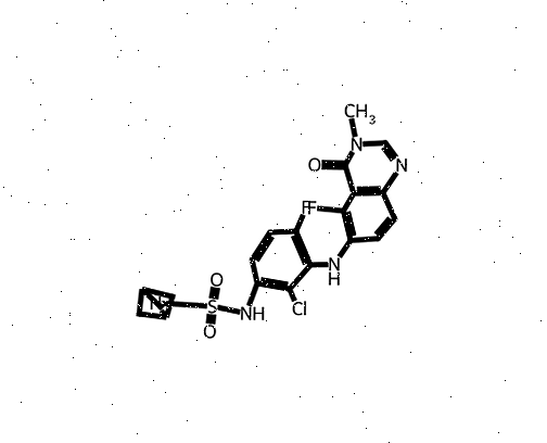 Cn1cnc2ccc(Nc3c(F)ccc(NS(=O)(=O)N4CC5CC4C5)c3Cl)c(F)c2c1=O